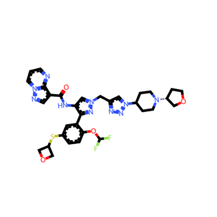 O=C(Nc1cn(Cc2cn(C3CCN([C@@H]4CCOC4)CC3)nn2)nc1-c1cc(SC2COC2)ccc1OC(F)F)c1cnn2cccnc12